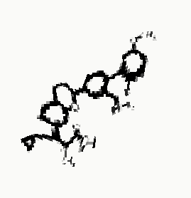 COc1ccc(F)c(-c2ccc(C3CCc4ccc(C(C5CC5)[C@H](C)C(=O)O)cc4O3)cc2CN)c1